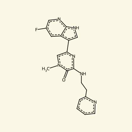 Cn1cc(-c2c[nH]c3ncc(F)cc23)nc(NCCc2ccccn2)c1=O